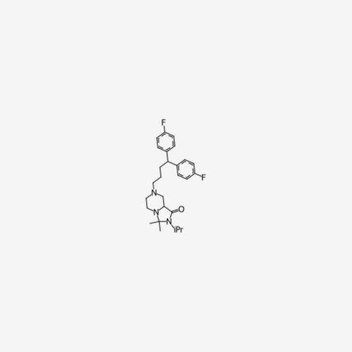 CC(C)N1C(=O)C2CN(CCCC(c3ccc(F)cc3)c3ccc(F)cc3)CCN2C1(C)C